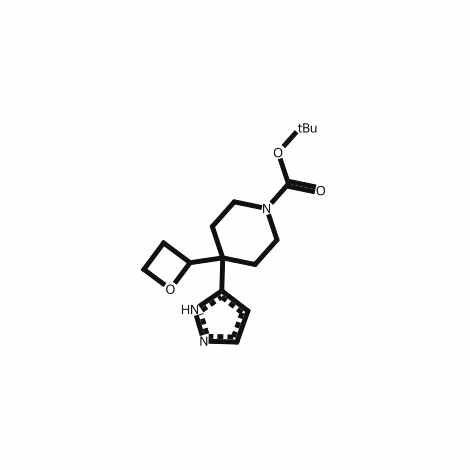 CC(C)(C)OC(=O)N1CCC(c2ccn[nH]2)(C2CCO2)CC1